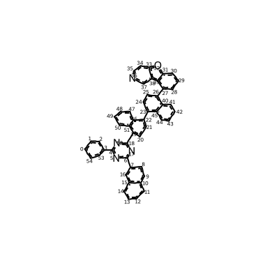 c1ccc(-c2nc(-c3ccc4ccccc4c3)nc(-c3ccc(-c4ccc(-c5cccc6oc7ccncc7c56)c5ccccc45)c4ccccc34)n2)cc1